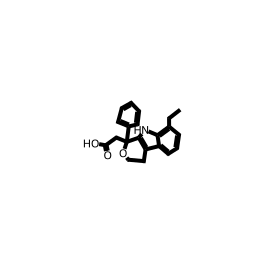 CCc1cccc2c3c([nH]c12)C(CC(=O)O)(c1ccccc1)OCC3